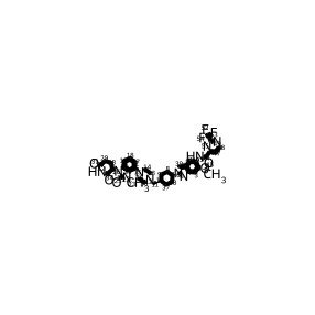 COc1cc2nn([C@H]3CC[C@H](CN4CCN(c5cccc6c5n(C)c(=O)n6C5CCC(=O)NC5=O)CC4)CC3)cc2cc1NC(=O)c1ccnc(C(F)(F)F)n1